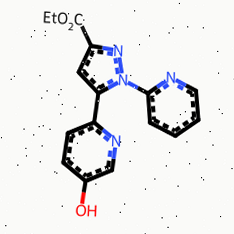 CCOC(=O)c1cc(-c2ccc(O)cn2)n(-c2ccccn2)n1